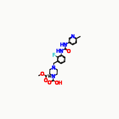 COC(=O)[C@@H]1CN(Cc2cccc(NC(=O)Nc3ccc(C)nc3)c2F)CCN1C(=O)O